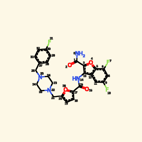 NC(=O)c1oc2c(F)cc(F)cc2c1NC(=O)c1ccc(CN2CCN(Cc3ccc(F)cc3)CC2)o1